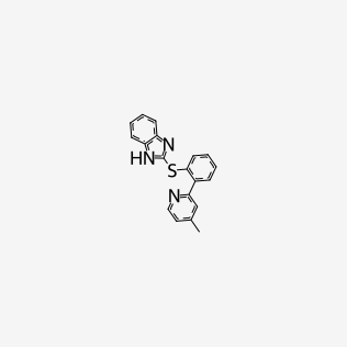 Cc1ccnc(-c2ccccc2Sc2nc3ccccc3[nH]2)c1